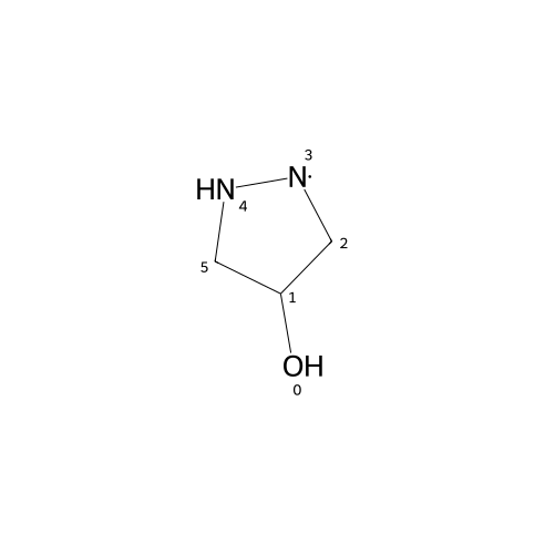 OC1C[N]NC1